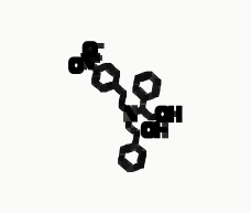 O=[N+]([O-])c1ccc(CCN(C[C@H](O)c2ccccc2)C(CO)c2ccccc2)cc1